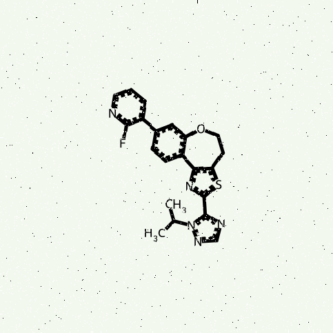 CC(C)n1ncnc1-c1nc2c(s1)CCOc1cc(-c3cccnc3F)ccc1-2